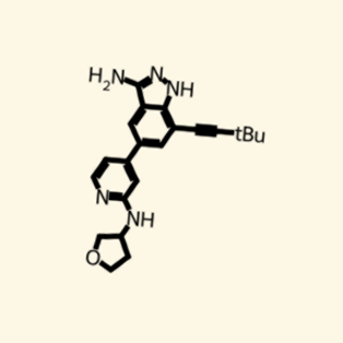 CC(C)(C)C#Cc1cc(-c2ccnc(NC3CCOC3)c2)cc2c(N)n[nH]c12